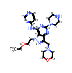 FC(F)(F)COCCn1nc(CN2CCOCC2)c2nc(N3CCNCC3)nc(Nc3ccncn3)c21